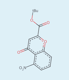 CC(C)(C)OC(=O)c1cc(=O)c2c([N+](=O)[O-])cccc2o1